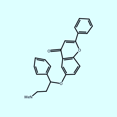 CNCCC(Oc1ccc2oc(-c3ccccc3)cc(=O)c2c1)c1ccccc1